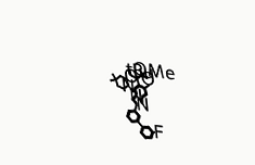 COC(=O)C(OC(C)(C)C)c1c(C)cc2nc(-c3cccc(-c4cccc(F)c4)c3)cn2c1N1CCC(C)(C)CC1